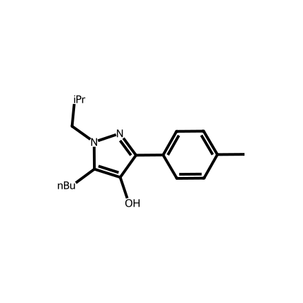 CCCCc1c(O)c(-c2ccc(C)cc2)nn1CC(C)C